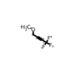 [CH2]OCC#CC(F)(F)F